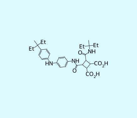 CCC(C)(CC)NC(=O)C1C(C(=O)O)C(C(=O)O)C1C(=O)Nc1ccc(Nc2ccc(C(C)(CC)CC)cc2)cc1